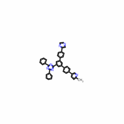 Cc1ccc(-c2ccc(-c3cc(-c4ccc(-c5cnccn5)cc4)cc(-c4nc(-c5ccccc5)nc(-c5ccccc5)n4)c3)cc2)cn1